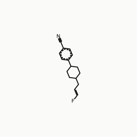 N#Cc1ccc(C2CCC(CC=CF)CC2)cc1